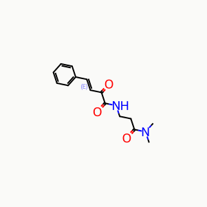 CN(C)C(=O)CCNC(=O)C(=O)/C=C/c1ccccc1